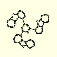 c1ccc2c(c1)sc1c(-c3nc(-c4cccc5sc6ccccc6c45)nc(-c4cccc5sc6ccccc6c45)n3)cccc12